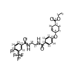 CCOC(=O)[C@H]1CC[C@@H](Oc2ccc(C(=O)NCCNC(=O)c3ccc(F)c(C(F)(F)F)c3)cc2)CC1